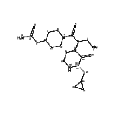 CC(C)(C)CC(C(=O)N1CCC(CC(N)=O)CC1)N1CCN[C@@H](CC2CC2)C1=O